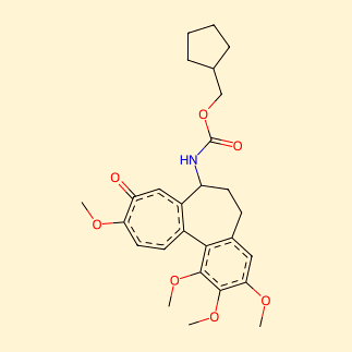 COc1cc2c(c(OC)c1OC)-c1ccc(OC)c(=O)cc1C(NC(=O)OCC1CCCC1)CC2